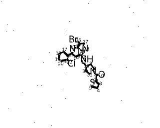 O=C(c1cccs1)N1CCC(CNc2cc(-c3ccccc3Cl)nc3c(Br)cnn23)CC1